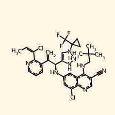 C=C(c1cccnc1/C(Cl)=C\C)[C@H](Nc1cc(Cl)c2ncc(C#N)c(NCC(C)(C)C)c2c1)C1=CN(C2(C(F)(F)F)CC2)NN1